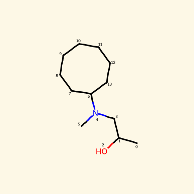 CC(O)CN(C)C1CCCCCCC1